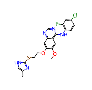 COc1cc2c(Nc3ccc(Cl)cc3F)ncnc2cc1OCCSc1nc(C)c[nH]1